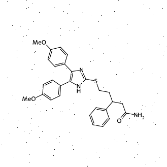 COc1ccc(-c2nc(SCCC(CC(N)=O)c3ccccc3)[nH]c2-c2ccc(OC)cc2)cc1